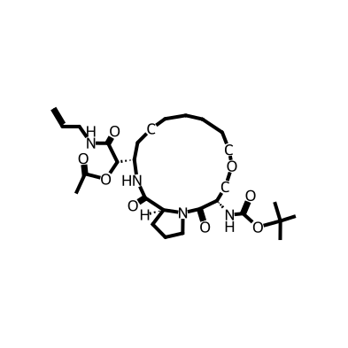 C=CCNC(=O)C(OC(C)=O)[C@@H]1CCCCCCCOC[C@H](NC(=O)OC(C)(C)C)C(=O)N2CCC[C@H]2C(=O)N1